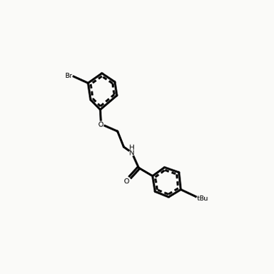 CC(C)(C)c1ccc(C(=O)NCCOc2cccc(Br)c2)cc1